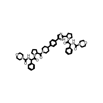 O=C(NC(C(=O)N1CCCC1C(=O)N1CCC(c2ccc(-c3cnc(C4CCCN4C(=O)[C@H](NC(=O)N4CCOCC4)c4ccccc4)[nH]3)cc2)CC1)c1ccccc1)N1CCOCC1